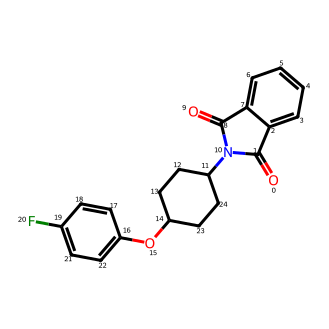 O=C1c2ccccc2C(=O)N1C1CCC(Oc2ccc(F)cc2)CC1